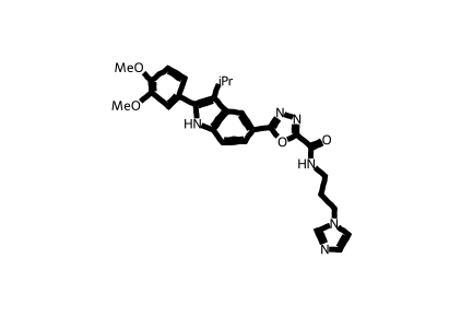 COc1ccc(-c2[nH]c3ccc(-c4nnc(C(=O)NCCCn5ccnc5)o4)cc3c2C(C)C)cc1OC